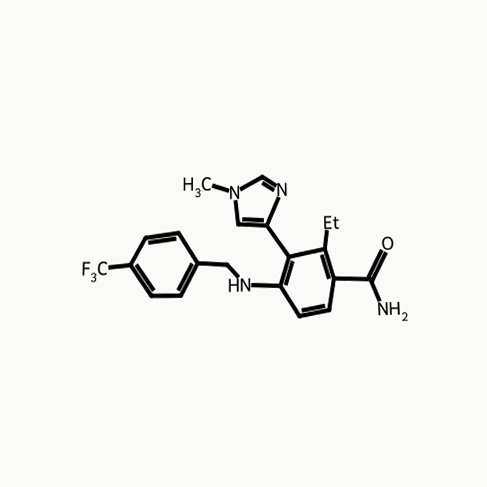 CCc1c(C(N)=O)ccc(NCc2ccc(C(F)(F)F)cc2)c1-c1cn(C)cn1